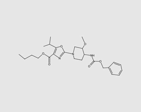 CCCCOC(=O)c1nc(N2CCC(NC(=O)OCc3ccccc3)C(OC)C2)oc1C(C)C